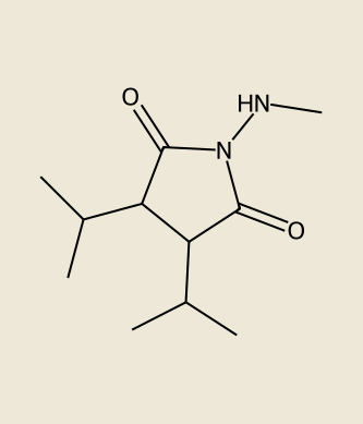 CNN1C(=O)C(C(C)C)C(C(C)C)C1=O